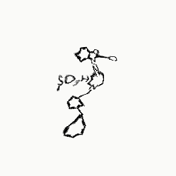 CS(=O)(=O)O.O=c1oc2ccccc2n1N1CCN(Cc2cccc(-c3ccccc3)c2)CC1